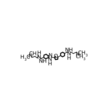 CN(C)CCCNC(=N)c1ccc(-c2ccc(-c3nc4ccc(C(=N)NCCCN(C)C)cc4[nH]3)o2)cc1